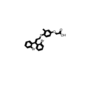 Cc1cc(OCC(=O)O)ccc1SCC=C(c1ccccc1Br)c1ccccc1Br